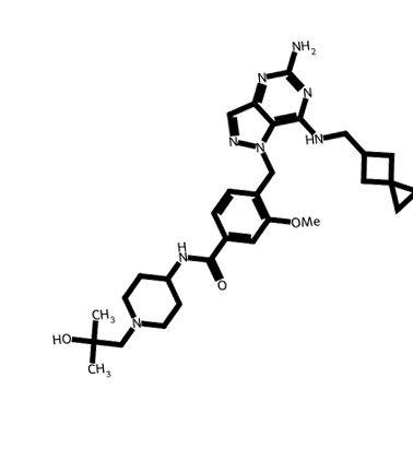 COc1cc(C(=O)NC2CCN(CC(C)(C)O)CC2)ccc1Cn1ncc2nc(N)nc(NCC3CC4(CC4)C3)c21